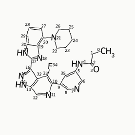 CCC(=O)Nc1cncc(-c2ncc3[nH]nc(-c4nc5c(N6CCCCC6)cccc5[nH]4)c3c2F)c1